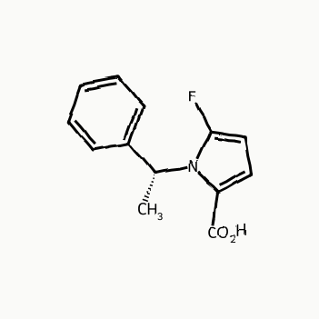 C[C@H](c1ccccc1)n1c(F)ccc1C(=O)O